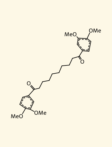 COc1ccc(C(=O)CCCCCCCCC(=O)c2ccc(OC)c(OC)c2)cc1OC